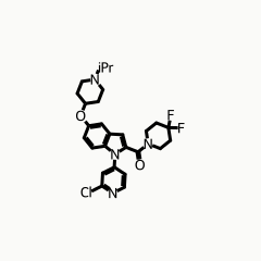 CC(C)N1CCC(Oc2ccc3c(c2)cc(C(=O)N2CCC(F)(F)CC2)n3-c2ccnc(Cl)c2)CC1